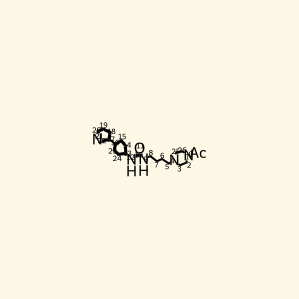 CC(=O)N1CCN(CCCCNC(=O)Nc2ccc(-c3cccnc3)cc2)CC1